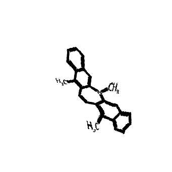 Cc1c2c(cc3ccccc13)N(C)c1cc3ccccc3c(C)c1C=C2